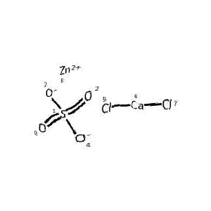 O=S(=O)([O-])[O-].[Cl][Ca][Cl].[Zn+2]